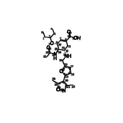 CCC(CC)O[C@@H]1C=C(C(=O)O)C[C@H](NCc2ccc(-c3c(C)noc3C)o2)[C@H]1NC(C)=O